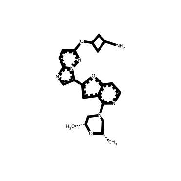 C[C@@H]1CN(c2nccc3oc(-c4cnc5ccc(OC6CC(N)C6)nn45)cc23)C[C@H](C)O1